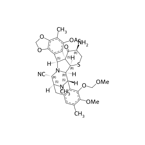 COCOc1c(OC)c(C)cc2c1[C@H]1[C@@H]3[C@@H]4SC[C@H](N)C(=O)[C@@]45c4c(OC(C)=O)c(C)c6c(c4[C@@H]5N3[C@@H](C#N)[C@H](C2)N1C)OCO6